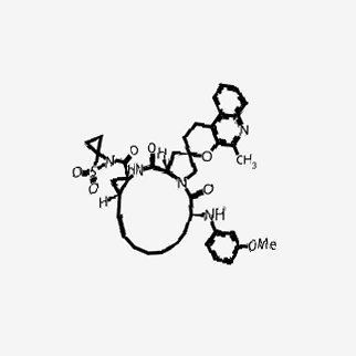 COc1cccc(N[C@H]2CCCCC/C=C\[C@@H]3CC3(C(=O)N3C4(CC4)S3(=O)=O)NC(=O)[C@@H]3C[C@]4(CCc5c(c(C)nc6ccccc56)O4)CN3C2=O)c1